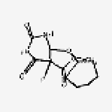 COC(=O)C1(F)C(=O)NC(=O)NC1OC1CCCCC1